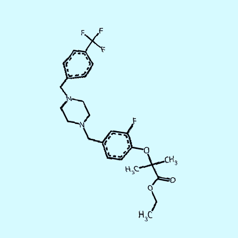 CCOC(=O)C(C)(C)Oc1ccc(CN2CCN(Cc3ccc(C(F)(F)F)cc3)CC2)cc1F